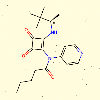 CCCCC(=O)N(c1ccncc1)c1c(N[C@H](C)C(C)(C)C)c(=O)c1=O